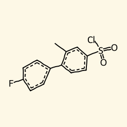 Cc1cc(S(=O)(=O)Cl)ccc1-c1ccc(F)cc1